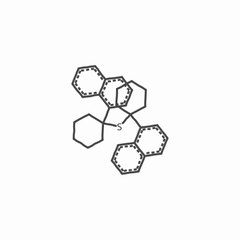 c1ccc2c(C3(SC4(c5cccc6ccccc56)CCCCC4)CCCCC3)cccc2c1